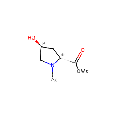 COC(=O)[C@H]1C[C@H](O)CN1C(C)=O